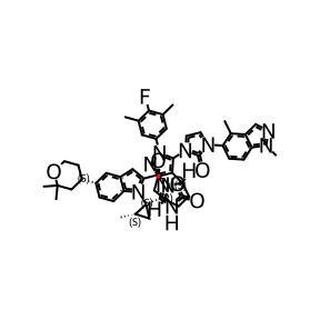 Cc1cc(-n2nc3c(c2-n2ccn(-c4ccc5c(cnn5C)c4C)c2=O)[C@@H]2CC[C@H](C3)N2C(=O)c2cc3cc([C@H]4CCOC(C)(C)C4)ccc3n2[C@@]2(c3noc(=O)[nH]3)C[C@@H]2C)cc(C)c1F